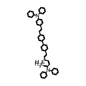 C=C(C=Cc1ccc(-c2ccc(C=Cc3ccc(N(c4ccccc4)c4ccccc4)cc3)cc2)cc1)/C=C\C(=C/C)N(c1ccccc1)c1ccccc1